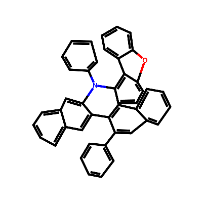 c1ccc(-c2cc3ccccc3cc2-c2cc3ccccc3cc2N(c2ccccc2)c2cccc3oc4ccccc4c23)cc1